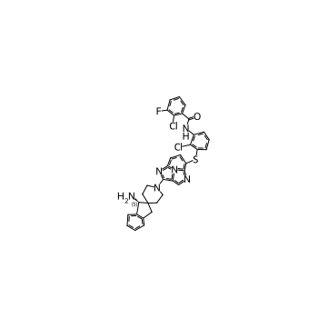 N[C@@H]1c2ccccc2CC12CCN(c1nc3ccc(Sc4cccc(NC(=O)c5cccc(F)c5Cl)c4Cl)c4ncc1n34)CC2